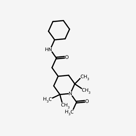 CC(=O)N1C(C)(C)CC(CC(=O)NC2CCCCC2)CC1(C)C